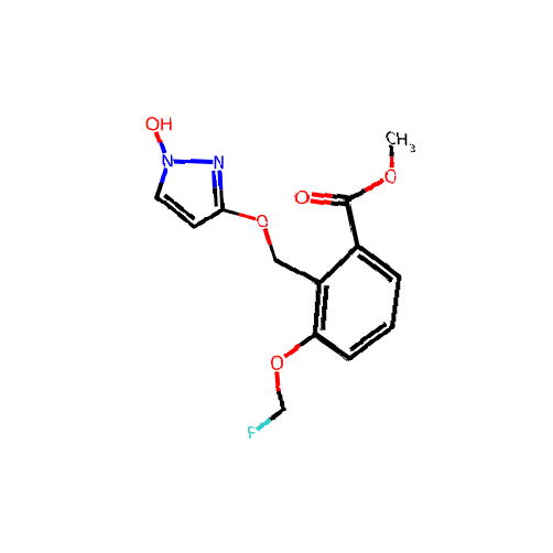 COC(=O)c1cccc(OCF)c1COc1ccn(O)n1